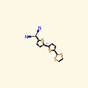 N#CC(C#N)=c1cc/c(=c2/ccc(=C3SC=CS3)s2)s1